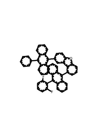 Fc1cccc(F)c1-c1c2ccccc2c(-c2cccc3oc4ccc(-c5c6ccccc6c(-c6ccccc6)c6ccccc56)cc4c23)c2ccccc12